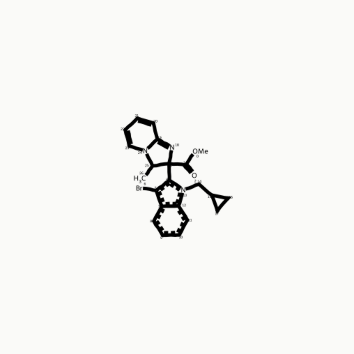 COC(=O)C1(c2c(Br)c3ccccc3n2CC2CC2)N=C2C=CC=CN2C1C